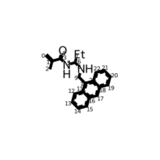 C=C(C)C(=O)NC(CC)NCc1c2ccccc2cc2ccccc12